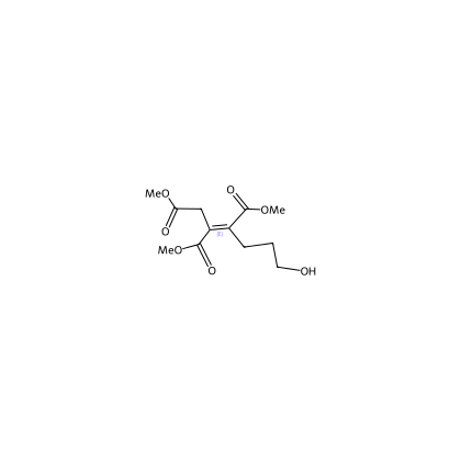 COC(=O)C/C(C(=O)OC)=C(/CCCO)C(=O)OC